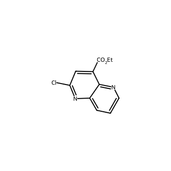 CCOC(=O)c1cc(Cl)nc2cccnc12